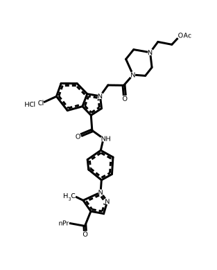 CCCC(=O)c1cnn(-c2ccc(NC(=O)c3cn(CC(=O)N4CCN(CCOC(C)=O)CC4)c4ccc(Cl)cc34)cc2)c1C.Cl